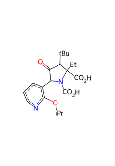 CCC1(C(=O)O)C(C(C)(C)C)C(=O)C(c2cccnc2OC(C)C)N1C(=O)O